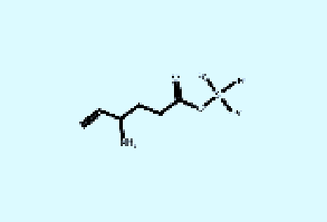 C=CC(N)CCC(=O)O[Si](C(C)C)(C(C)C)C(C)C